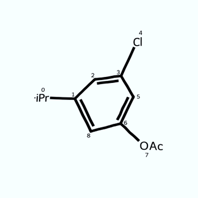 C[C](C)c1cc(Cl)cc(OC(C)=O)c1